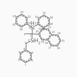 CC([SiH2]Cc1ccccc1)(c1ccc2ccccc2c1)[SiH](c1ccccc1)c1ccccc1